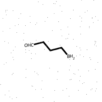 BCCCC=O